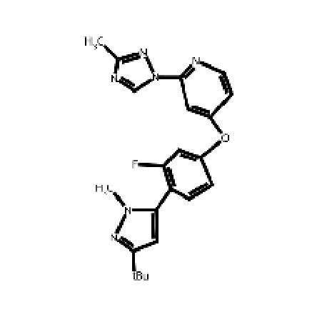 Cc1ncn(-c2cc(Oc3[c]c(F)c(-c4cc(C(C)(C)C)nn4C)cc3)ccn2)n1